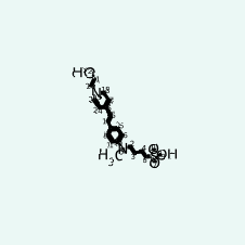 CN(CCCCS(=O)(=O)O)c1ccc(C=CC2=CCN(CCO)C=C2)cc1